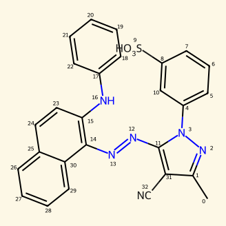 Cc1nn(-c2cccc(S(=O)(=O)O)c2)c(N=Nc2c(Nc3ccccc3)ccc3ccccc23)c1C#N